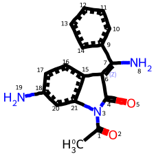 CC(=O)N1C(=O)/C(=C(\N)c2ccccc2)c2ccc(N)cc21